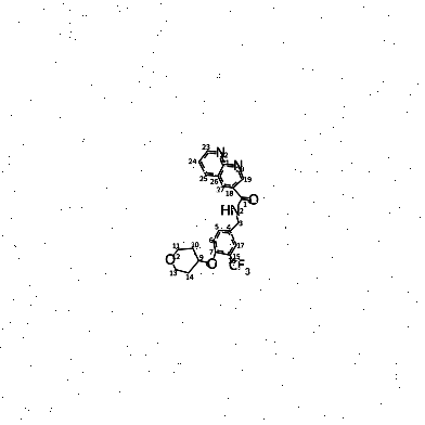 O=C(NCc1ccc(OC2CCOCC2)c(C(F)(F)F)c1)c1cnc2ncccc2c1